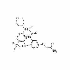 C=CC(=O)Nc1cc(OCC(N)=O)ccc1Nc1nc(NC2CCOCC2)ncc1C(F)(F)F